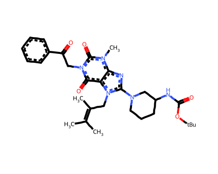 CC(C)=C(C)Cn1c(N2CCCC(NC(=O)OC(C)(C)C)C2)nc2c1c(=O)n(CC(=O)c1ccccc1)c(=O)n2C